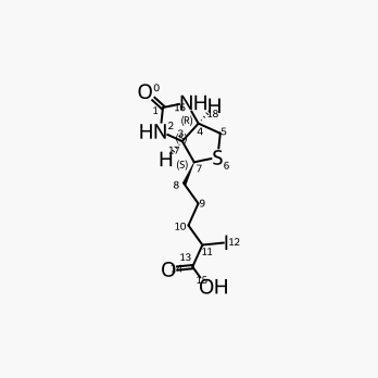 O=C1N[C@H]2[C@H](CS[C@H]2CCCC(I)C(=O)O)N1